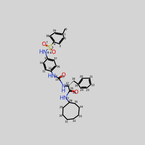 Cc1ccc(S(=O)(=O)Nc2ccc(NC(=O)N[C@H](Cc3ccccc3)C(=O)NC3CCCCCCC3)cc2)cc1